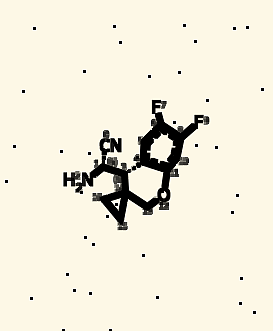 N#C[C@@H](N)[C@@H]1c2cc(F)c(F)cc2OCC12CC2